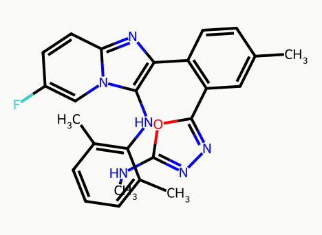 CNc1nnc(-c2cc(C)ccc2-c2nc3ccc(F)cn3c2Nc2c(C)cccc2C)o1